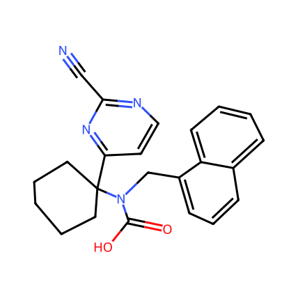 N#Cc1nccc(C2(N(Cc3cccc4ccccc34)C(=O)O)CCCCC2)n1